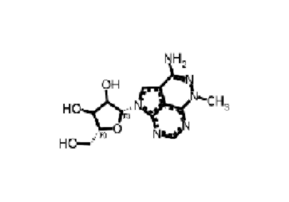 CN1N=C(N)c2cn([C@@H]3O[C@H](CO)C(O)C3O)c3ncnc1c23